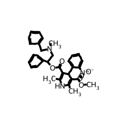 COC(=O)C1=C(C)NC(C)=C(C(=O)OC(CN(C)Cc2ccccc2)c2ccccc2)C1c1ccccc1[N+](=O)[O-]